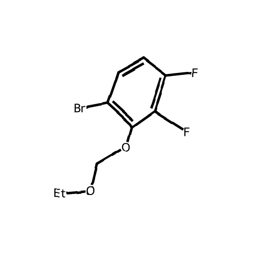 CCOCOc1c(Br)ccc(F)c1F